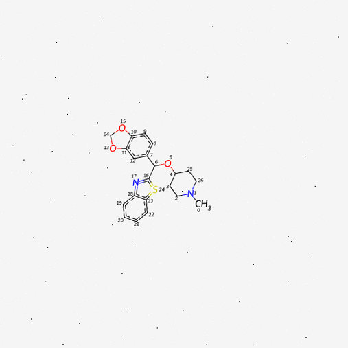 CN1CCC(OC(c2ccc3c(c2)OCO3)c2nc3ccccc3s2)CC1